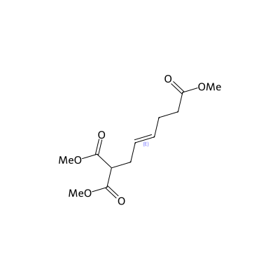 COC(=O)CC/C=C/CC(C(=O)OC)C(=O)OC